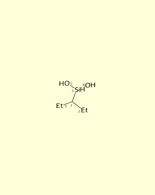 CCC(CC)[SiH](O)O